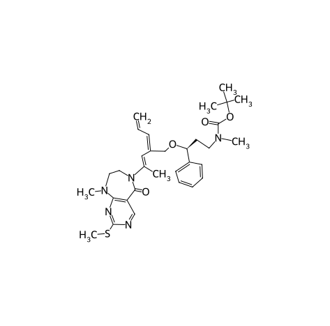 C=C/C=C(\C=C(/C)N1CCN(C)c2nc(SC)ncc2C1=O)CO[C@@H](CCN(C)C(=O)OC(C)(C)C)c1ccccc1